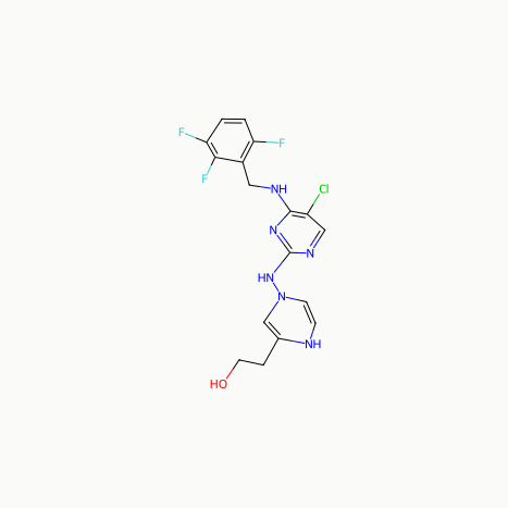 OCCC1=CN(Nc2ncc(Cl)c(NCc3c(F)ccc(F)c3F)n2)C=CN1